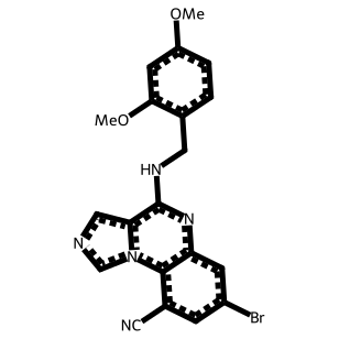 COc1ccc(CNc2nc3cc(Br)cc(C#N)c3n3cncc23)c(OC)c1